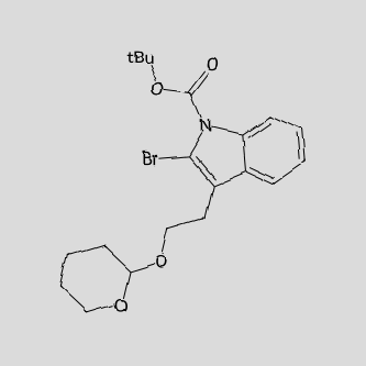 CC(C)(C)OC(=O)n1c(Br)c(CCOC2CCCCO2)c2ccccc21